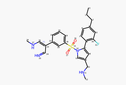 CCCc1ccc(-c2cc(CNC)cn2S(=O)(=O)c2cccc(/C(C=N)=C/NC)c2)c(F)c1